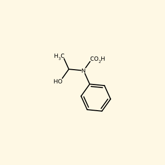 CC(O)N(C(=O)O)c1ccccc1